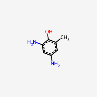 Cc1cc(N)cc(N)c1O